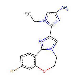 Nc1cn(CC(F)(F)F)c(-c2cn3c(n2)-c2ccc(Br)cc2OCC3)n1